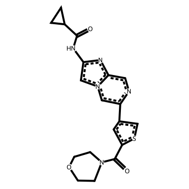 O=C(Nc1cn2cc(-c3csc(C(=O)N4CCOCC4)c3)ncc2n1)C1CC1